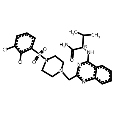 CC(C)[C@H](Nc1nc(CN2CCN(S(=O)(=O)c3cccc(Cl)c3Cl)CC2)nc2ccccc12)C(N)=O